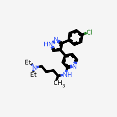 CCN(CC)CCCC(C)Nc1cc(-c2c[nH]nc2-c2ccc(Cl)cc2)ccn1